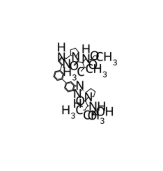 COC(=O)N[C@H](C(=O)N1CCCC1c1nc(-c2cccc(-c3ccc4[nH]c([C@@H]5CCCN5C(=O)[C@@H](NC(=O)O)C(C)C)nc4c3)c2)c[nH]1)C(C)C